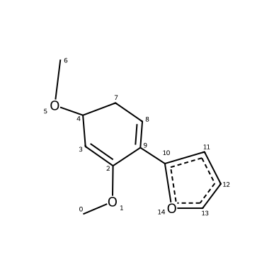 COC1=CC(OC)CC=C1c1ccco1